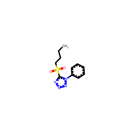 CCCCS(=O)(=O)c1nnnn1-c1ccccc1